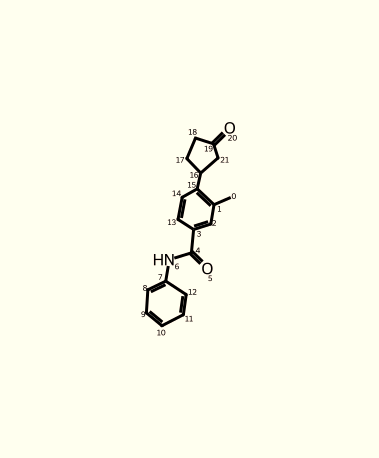 Cc1cc(C(=O)Nc2ccccc2)ccc1C1CCC(=O)C1